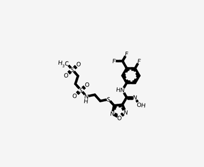 CS(=O)(=O)CCS(=O)(=O)NCCSc1nonc1/C(=N\O)Nc1ccc(F)c(C(F)F)c1